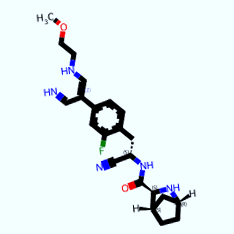 COCCN/C=C(\C=N)c1ccc(C[C@@H](C#N)NC(=O)[C@H]2N[C@@H]3CC[C@H]2C3)c(F)c1